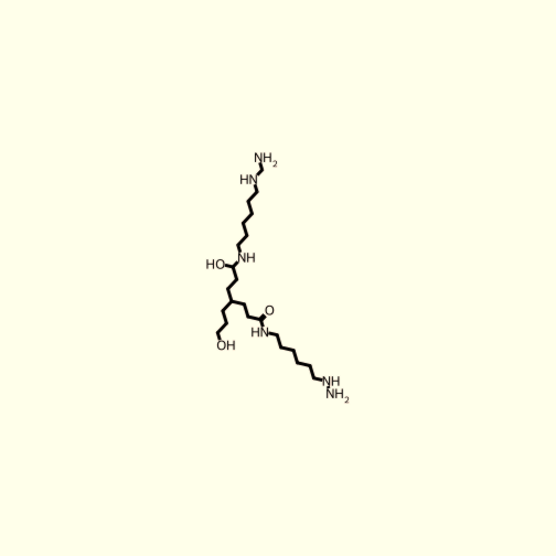 NCNCCCCCCNC(O)CCC(CCCO)CCC(=O)NCCCCCCNN